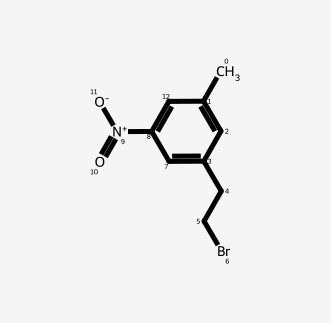 Cc1cc(CCBr)cc([N+](=O)[O-])c1